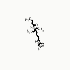 CCCCCC(CC)(CC)NC(=O)CCC.c1c[nH]nn1